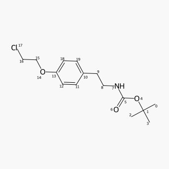 CC(C)(C)OC(=O)NCCc1ccc(OCCCl)cc1